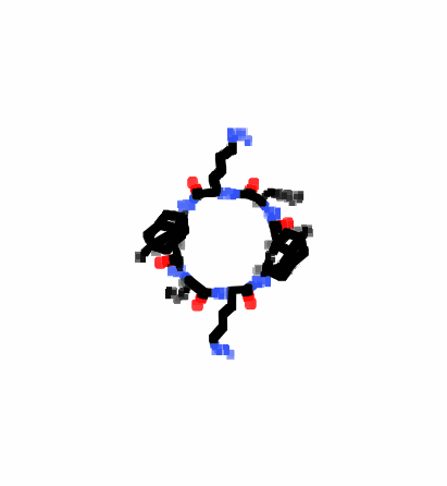 C[C@@H]1NC(=O)[C@@]23CC4C[C@H](C[C@@](C4)(C2)NC(=O)C(CCCCN)NC(=O)[C@H](CC(=O)O)NC(=O)[C@@]24CC5C[C@H](C[C@@](C5)(C2)NC(=O)C(CCCCN)NC1=O)C4)C3